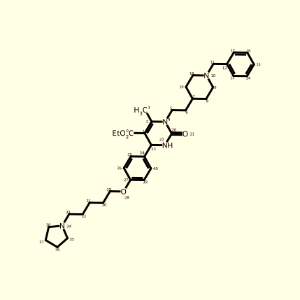 CCOC(=O)C1=C(C)N(CCC2CCN(Cc3ccccc3)CC2)C(=O)NC1c1ccc(OCCCCCN2CCCC2)cc1